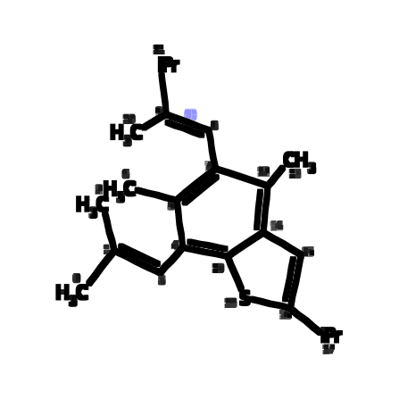 CC(C)=Cc1c(C)c(/C=C(\C)C(C)C)c(C)c2cc(C(C)C)sc12